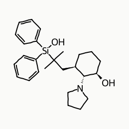 CC(C)(C[C@H]1CCC[C@@H](O)[C@@H]1N1CCCC1)[Si](O)(c1ccccc1)c1ccccc1